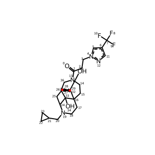 O=C(CCn1cc(C(F)(F)F)cn1)N1CCC23CCN(CC4CC4)C(Cc4ccc(O)cc42)C3(O)CC1